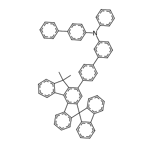 CC1(C)c2ccccc2-c2c3c(cc(-c4ccc(-c5cccc(N(c6ccccc6)c6ccc(-c7ccccc7)cc6)c5)cc4)c21)C1(c2ccccc2-c2ccccc21)c1ccccc1-3